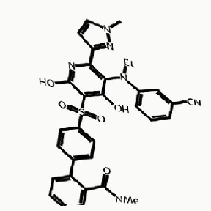 CCN(c1cccc(C#N)c1)c1c(-c2ccn(C)n2)nc(O)c(S(=O)(=O)c2ccc(-c3ccccc3C(=O)NC)cc2)c1O